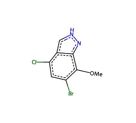 COc1c(Br)cc(Cl)c2c[nH]nc12